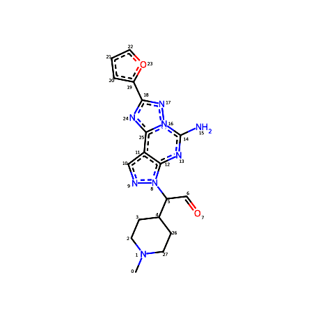 CN1CCC(C(C=O)n2ncc3c2nc(N)n2nc(-c4ccco4)nc32)CC1